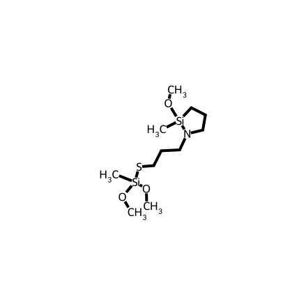 CO[Si](C)(OC)SCCCN1CCC[Si]1(C)OC